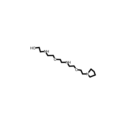 OCCNCCOCCNCCOCCN1CCCC1